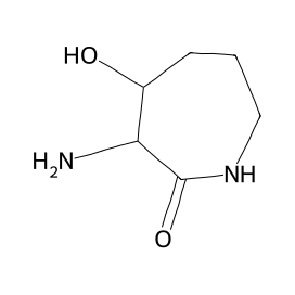 NC1C(=O)NCCCC1O